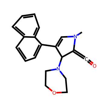 CN1C=C(c2cccc3ccccc23)C(N2CCOCC2)C1=C=O